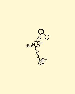 CC(C)(C)N(C[C@H](O)COc1ccccc1C1CCCC1)C(=O)COCCON(O)O